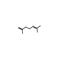 C=C(C)CC[C]=C(C)C